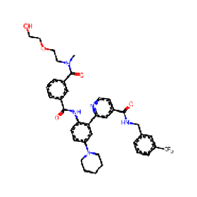 CN(CCOCCO)C(=O)c1cccc(C(=O)Nc2ccc(N3CCCCC3)cc2-c2cc(C(=O)NCc3cccc(C(F)(F)F)c3)ccn2)c1